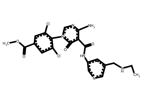 CCNCc1cncc(NC(=O)c2c(N)ncn(-c3c(Cl)cc(C(=O)OC)cc3Cl)c2=O)c1